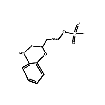 CS(=O)(=O)OCCC1CNc2ccccc2O1